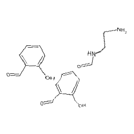 NCCNC=O.O=Cc1ccccc1O.O=Cc1ccccc1O